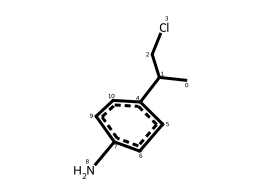 CC(CCl)c1ccc(N)cc1